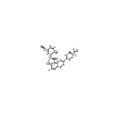 Cc1nc2ccc(-c3ccc(P(C)(C)=O)nc3)cc2c(NC(C)c2cc(C#N)ccc2F)c1Cl